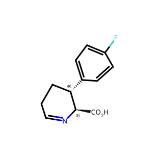 O=C(O)[C@H]1N=CCC[C@@H]1c1ccc(F)cc1